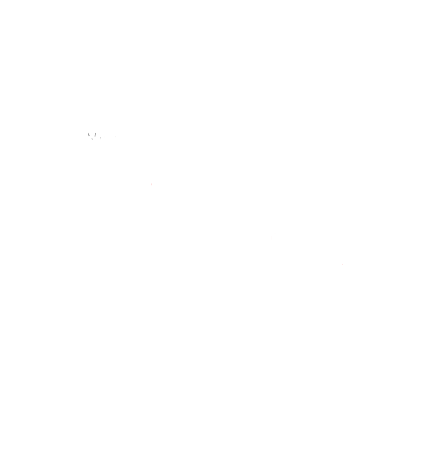 COCOc1ccc(OC2CCCCC2=O)cc1